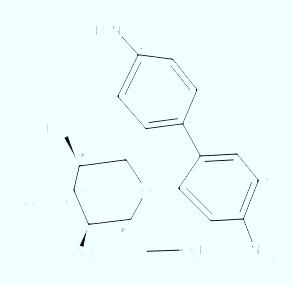 Nc1ccc(-c2ccc(N)cc2[C@@H]2O[C@H](CO)[C@@H](O)[C@H](O)[C@H]2O)cc1